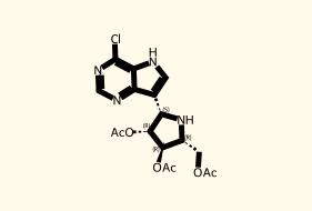 CC(=O)OC[C@H]1N[C@@H](c2c[nH]c3c(Cl)ncnc23)[C@@H](OC(C)=O)[C@@H]1OC(C)=O